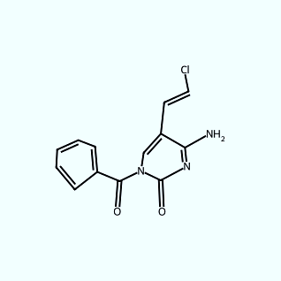 Nc1nc(=O)n(C(=O)c2ccccc2)cc1C=CCl